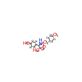 COc1ccc(COC(=O)NC(C(=O)O)c2ccc(O)cc2)cc1